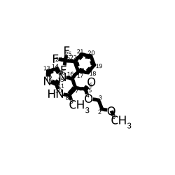 COCCOC(=O)C1=C(C)Nc2nccn2C1c1ccccc1C(F)(F)F